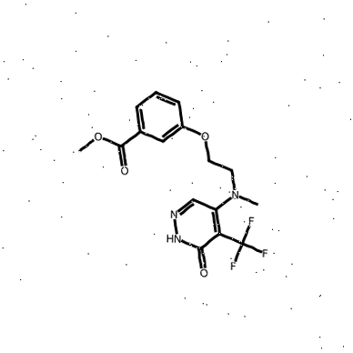 COC(=O)c1cccc(OCCN(C)c2cn[nH]c(=O)c2C(F)(F)F)c1